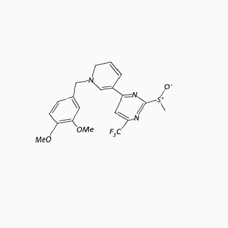 COc1ccc(CN2C=C(c3cc(C(F)(F)F)nc([S+](C)[O-])n3)C=CC2)cc1OC